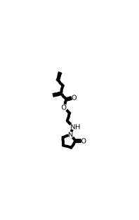 C=CCC(=C)C(=O)OCCNN1CCCC1=O